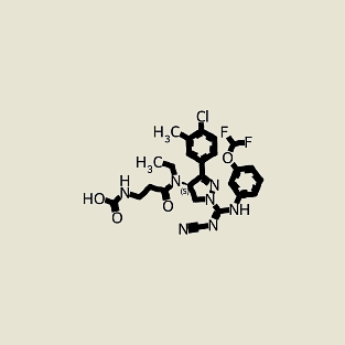 CCN(C(=O)CCNC(=O)O)[C@H]1CN(C(=NC#N)Nc2cccc(OC(F)F)c2)N=C1c1ccc(Cl)c(C)c1